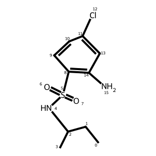 CCC(C)NS(=O)(=O)c1ccc(Cl)cc1N